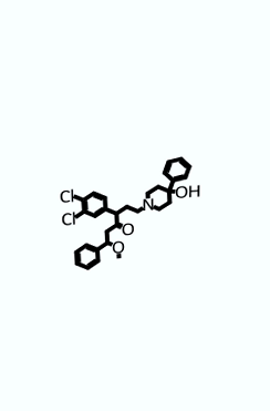 COC(CC(=O)C(CCN1CCC(O)(c2ccccc2)CC1)c1ccc(Cl)c(Cl)c1)c1ccccc1